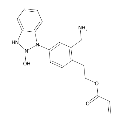 C=CC(=O)OCCc1ccc(N2c3ccccc3NN2O)cc1CN